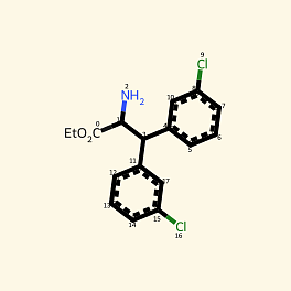 CCOC(=O)C(N)C(c1cccc(Cl)c1)c1cccc(Cl)c1